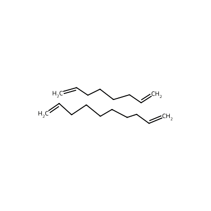 C=CCCCCC=C.C=CCCCCCCC=C